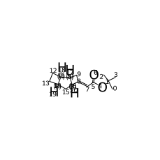 CC(C)(C)OC(=O)C=C1C[C@H]2[C@@H]3CC[C@@H]3C[C@@H]12